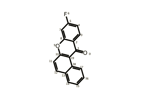 O=c1c2ccc(F)cc2oc2ccc3ccccc3c12